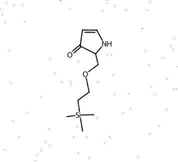 C[Si](C)(C)CCOCC1NC=CC1=O